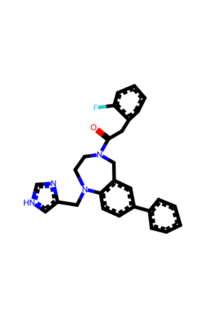 O=C(Cc1ccccc1F)N1CCN(Cc2c[nH]cn2)c2ccc(-c3ccccc3)cc2C1